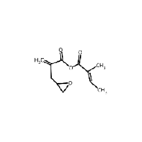 C=C(CC1CO1)C(=O)OC(=O)C(C)=CC